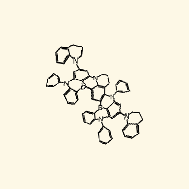 c1ccc(N2c3ccccc3B3c4cc5c(c6c4N(CCC6)c4cc(N6CCCc7ccccc76)cc2c43)N(c2ccccc2)c2cc(N3CCCc4ccccc43)cc3c2B5c2ccccc2N3c2ccccc2)cc1